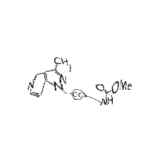 COC(=O)NC12CCC(Cn3nc(C)c4cnccc43)(CC1)CC2